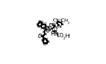 Cc1cnc(NC(=O)[C@H](CCNC(=O)O)NC(=O)[C@@H]2Cc3ccccc3CN2C(=O)CCC(=O)c2ccccc2)cc1Cl